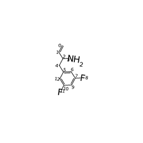 C=CC(N)Cc1cc(F)cc(F)c1